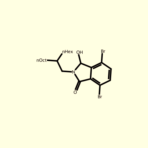 CCCCCCCCC(CCCCCC)CN1C(=O)c2c(Br)ccc(Br)c2C1O